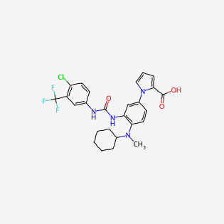 CN(c1ccc(-n2cccc2C(=O)O)cc1NC(=O)Nc1ccc(Cl)c(C(F)(F)F)c1)C1CCCCC1